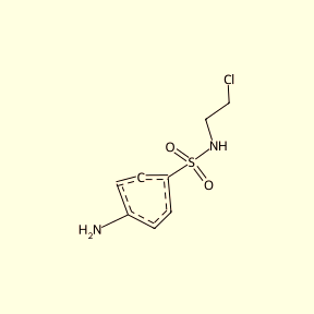 Nc1ccc(S(=O)(=O)NCCCl)cc1